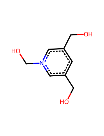 OCc1cc(CO)c[n+](CO)c1